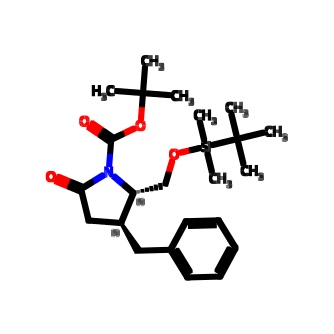 CC(C)(C)OC(=O)N1C(=O)C[C@H](Cc2ccccc2)[C@H]1CO[Si](C)(C)C(C)(C)C